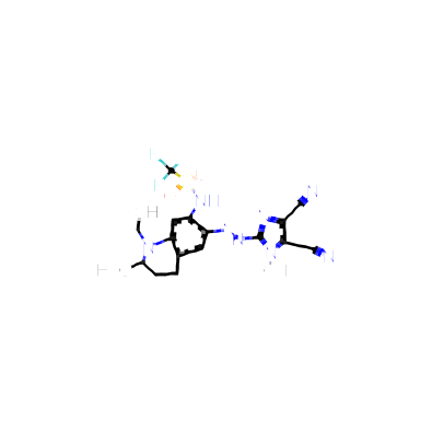 CCN1c2cc(NS(=O)(=O)C(F)(F)F)c(N=Nc3nc(C#N)c(C#N)n3C)cc2CCC1C